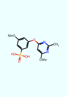 COc1cc(Oc2cc(OC)nc(C)n2)cc(P(=O)(O)O)c1